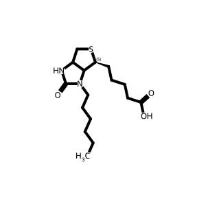 CCCCCCN1C(=O)NC2CS[C@@H](CCCCC(=O)O)C21